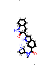 CN(C(=O)c1ccc2cc(-c3cc4ccccc4[nH]c3=O)[nH]c2c1)C1CCNC1